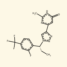 CC[C@H](c1ccc(C(F)(F)F)cc1F)n1cc(-c2cc(=O)[nH]c(C)n2)nn1